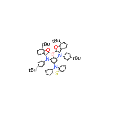 CC(C)(C)c1ccc(N2c3cc(N4c5ccccc5Sc5ccccc54)cc4c3B(c3oc5c(C(C)(C)C)cccc5c32)c2oc3c(C(C)(C)C)cccc3c2N4c2ccc(C(C)(C)C)cc2)cc1